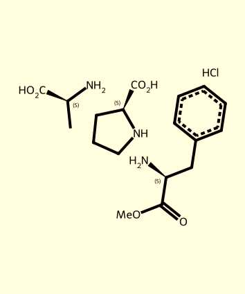 COC(=O)[C@@H](N)Cc1ccccc1.C[C@H](N)C(=O)O.Cl.O=C(O)[C@@H]1CCCN1